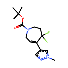 Cn1cc(C2=CCN(C(=O)OC(C)(C)C)CCC2(F)F)cn1